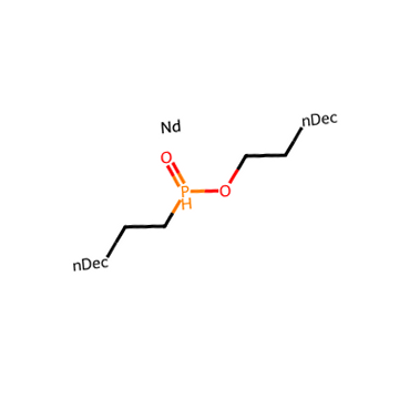 CCCCCCCCCCCCO[PH](=O)CCCCCCCCCCCC.[Nd]